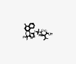 Cc1ccc(-n2c(SC(C)(C)C(=O)NC(C(=O)O)C(C)C)nnc2C(F)(F)F)c2ccccc12